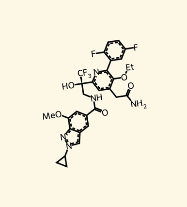 CCOc1c(CC(N)=O)cc([C@@](O)(CNC(=O)c2cc(OC)c3nn(C4CC4)cc3c2)C(F)(F)F)nc1-c1cc(F)ccc1F